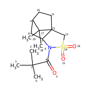 CC(C)(C)C(=O)N1C2CC3CCC2(CS1(=O)=O)C3(C)C